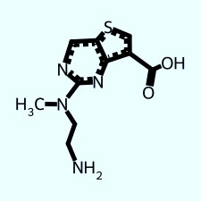 CN(CCN)c1ncc2scc(C(=O)O)c2n1